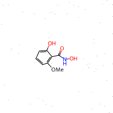 COc1cccc(O)c1C(=O)NO